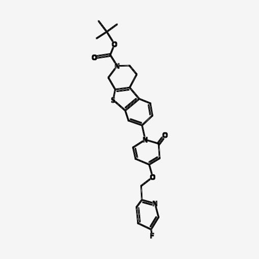 CC(C)(C)OC(=O)N1CCc2c(sc3cc(-n4ccc(OCc5ccc(F)cn5)cc4=O)ccc23)C1